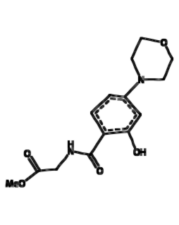 COC(=O)CNC(=O)c1ccc(N2CCOCC2)cc1O